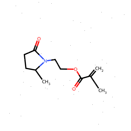 C=C(C)C(=O)OCCN1C(=O)CCC1C